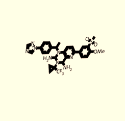 COc1ccc(-c2ccc3c(n2)C(N)N(C2(C(F)(F)F)CC2)C(N)N3C(C)c2ccc(-n3cncn3)cc2)cc1S(C)(=O)=O